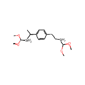 COC(OC)[SiH2]CCc1ccc(C(C)[SiH2]C(OC)OC)cc1